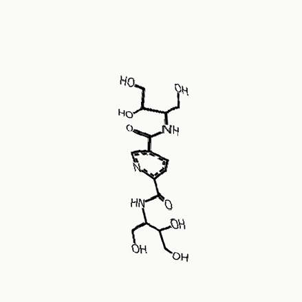 O=C(NC(CO)C(O)CO)c1ccc(C(=O)NC(CO)C(O)CO)nc1